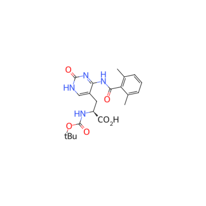 Cc1cccc(C)c1C(=O)Nc1nc(=O)[nH]cc1C[C@H](NC(=O)OC(C)(C)C)C(=O)O